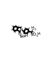 CC(c1ccc(N2Cc3ccccc3C2=O)cc1)S(=O)(=O)O.[NaH]